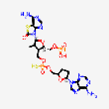 CC1C(COP(=O)(S)OCC2CC[C@H](n3cnc4c(N)ncnc43)O2)[C@@H](CO[PH](=O)O)O[C@H]1n1c(=O)sc2c(N)ncnc21